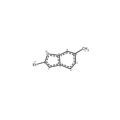 CCc1cc2ccc(C)cc2o1